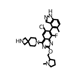 Cc1ccc2[nH]ncc2c1-c1c(Cl)cc2c(N3CCC4(CC3)CNC4)nc(OCC3CCCN3C)nc2c1F